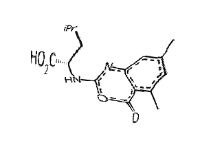 Cc1cc(C)c2c(=O)oc(N[C@@H](CC(C)C)C(=O)O)nc2c1